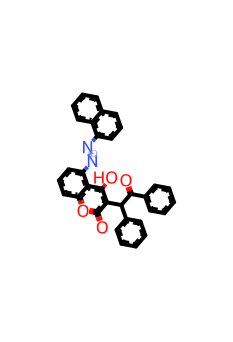 O=C(c1ccccc1)C(c1ccccc1)c1c(O)c2c(/N=N/c3cccc4ccccc34)cccc2oc1=O